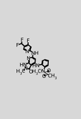 CN(c1ccccc1Nc1cc(Nc2cc(F)c(C(F)F)cn2)nc2[nH]n(C)c(=O)c12)S(C)(=O)=O